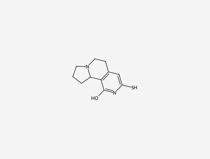 Oc1nc(S)cc2c1C1CCCN1CC2